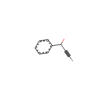 OC(C#CBr)c1ccccc1